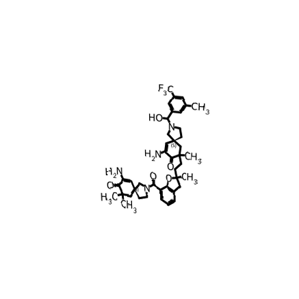 Cc1cc(C(O)N2CC[C@@]3(C=C(N)C(=O)C(C)(CCC4(C)Cc5cccc(C(=O)N6CC[C@@]7(C=C(N)C(=O)C(C)(C)C7)C6)c5O4)C3)C2)cc(C(F)(F)F)c1